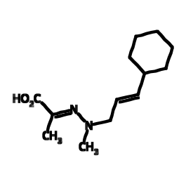 CC(=NN(C)CC=CC1CCCCC1)C(=O)O